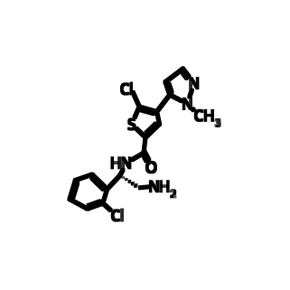 Cn1nccc1-c1cc(C(=O)N[C@H](CN)c2ccccc2Cl)sc1Cl